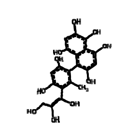 Cc1c(/C(O)=C(/O)CO)c(O)cc(O)c1-c1c(O)cc(O)c2c(O)c(O)cc(O)c12